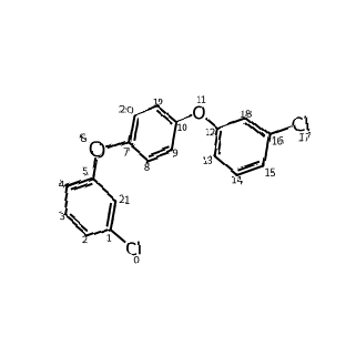 Clc1cccc(Oc2ccc(Oc3cccc(Cl)c3)cc2)c1